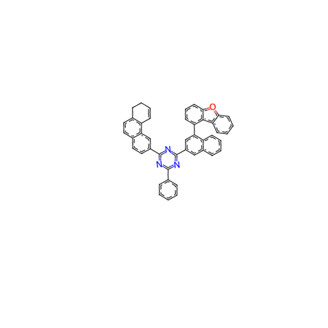 C1=Cc2c(ccc3ccc(-c4nc(-c5ccccc5)nc(-c5cc(-c6cccc7oc8ccccc8c67)c6ccccc6c5)n4)cc23)CC1